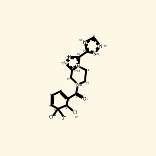 O=C(C1=CC=CC(F)(Cl)C1Cl)N1CCn2c(nnc2-c2ncns2)C1